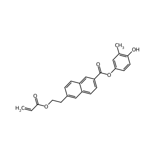 C=CC(=O)OCCc1ccc2cc(C(=O)Oc3ccc(O)c(C)c3)ccc2c1